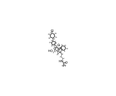 CC(C)C(=O)NCCC[C@@]1(c2ccccc2)CC1(NS(=O)(=O)c1ccc(-c2ccc(Cl)cc2)s1)C(=O)O